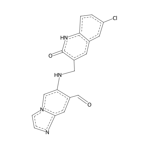 O=Cc1cc2nccn2cc1NCc1cc2cc(Cl)ccc2[nH]c1=O